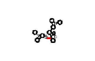 c1ccc(-n2c3ccccc3c3cc(-c4ccc5c(c4)C4(c6ccccc6Oc6ccccc64)c4ccccc4N5c4ccc5c(c4)c4ccccc4n5-c4ccccc4)ccc32)cc1